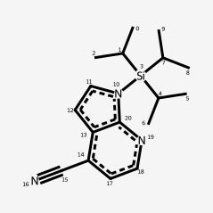 CC(C)[Si](C(C)C)(C(C)C)n1ccc2c(C#N)ccnc21